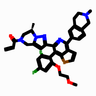 C=CC(=O)N1Cc2cc(-c3nc(-c4ccc5c(c4)CCN(C)C5)c4ccsc4c3-c3c(F)cc(F)cc3OCCOC)nn2[C@@H](C)C1